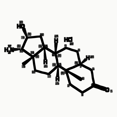 C[C@]12CCC(=O)C[C@@H]1CC[C@@H]1[C@@H]2CC[C@]2(C)[C@H](N)[C@@H](O)C[C@@H]12.Cl